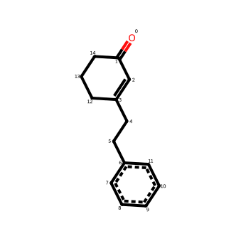 O=C1C=C(CCc2ccccc2)CCC1